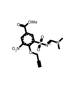 C#CCOc1c([N+](=O)[O-])cc(C(=O)OC)cc1S(=O)(=O)/N=C/N(C)C